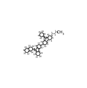 CCCCc1ccc2c3ccc(-c4ccc5c(c4)c4ccccc4n5-c4ccc5ccccc5c4)cc3n(-c3ccccc3)c2c1